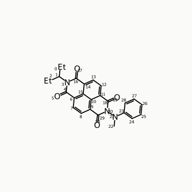 CCC(CC)N1C(=O)c2ccc3c4c(ccc(c24)C1=O)C(=O)N(N(C)c1ccccc1)C3=O